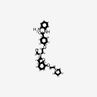 Nc1ccccc1NC(=O)c1ccc(OCCN(C=O)c2cc3cccc(OCCN4CCCC4)c3o2)cc1